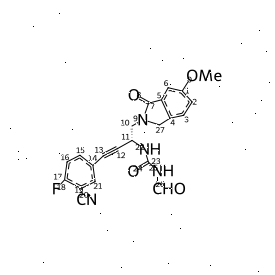 COc1ccc2c(c1)C(=O)N(C[C@@H](C#Cc1ccc(F)c(C#N)c1)NC(=O)NC=O)C2